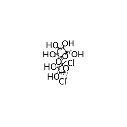 OC[C@H]1O[C@H](O[C@]2(CCl)O[C@H](CCl)[C@@H](O)[C@@H]2O)[C@H](O)[C@@H](O)[C@H]1O